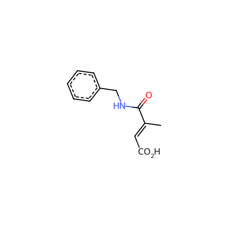 CC(=CC(=O)O)C(=O)NCc1ccccc1